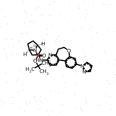 CC(C)(C)OC(=O)N1[C@@H]2CC[C@H]1C[C@@H](Nc1ccc3c(n1)CCOc1cc(-n4cccn4)ccc1-3)C2